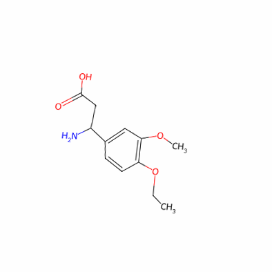 CCOc1ccc(C(N)CC(=O)O)cc1OC